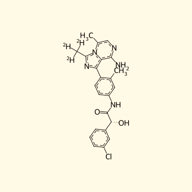 [2H]C([2H])([2H])c1nc(-c2ccc(NC(=O)[C@H](O)c3cccc(Cl)c3)cc2C)c2c(N)ncc(C)n12